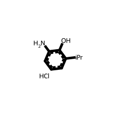 CC(C)c1cccc(N)c1O.Cl